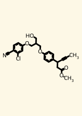 CC#CC(CC(=O)OC)c1ccc(OCC(CO)COc2ccc(C#N)c(Cl)c2)cc1